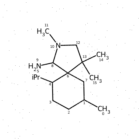 CC1CCC(C(C)C)C2(C1)C(N)N(C)CC2(C)C